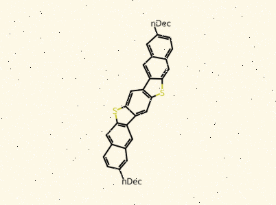 CCCCCCCCCCc1ccc2cc3sc4cc5c(cc4c3cc2c1)sc1cc2ccc(CCCCCCCCCC)cc2cc15